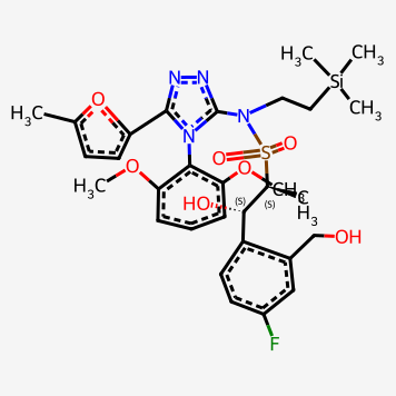 COc1cccc(OC)c1-n1c(-c2ccc(C)o2)nnc1N(CC[Si](C)(C)C)S(=O)(=O)[C@@H](C)[C@@H](O)c1ccc(F)cc1CO